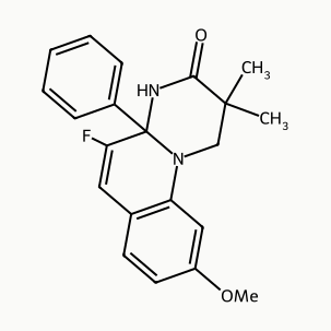 COc1ccc2c(c1)N1CC(C)(C)C(=O)NC1(c1ccccc1)C(F)=C2